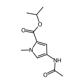 CC(=O)Nc1cc(C(=O)OC(C)C)n(C)c1